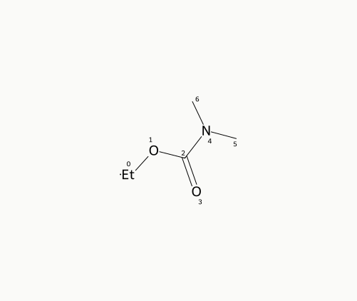 C[CH]OC(=O)N(C)C